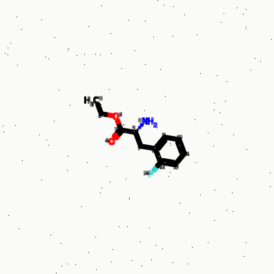 CCOC(=O)[C@H](N)Cc1ccccc1F